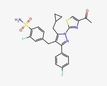 CC(=O)c1csc(-n2nc(-c3ccc(F)cc3)c(Cc3ccc(S(N)(=O)=O)c(F)c3)c2CC2CC2)n1